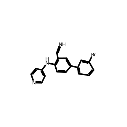 N=Cc1cc(-c2cccc(Br)c2)ccc1Nc1ccncc1